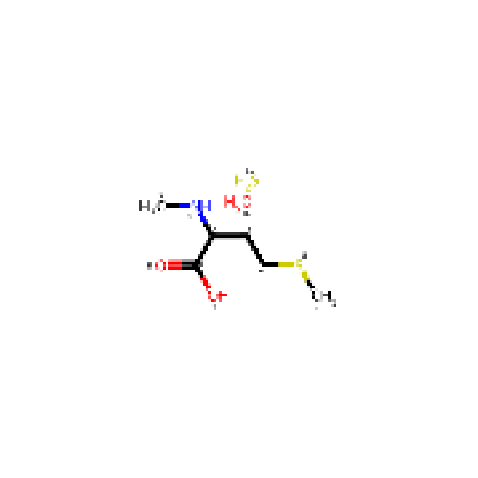 CNC(CCSC)C(=O)O.O.S